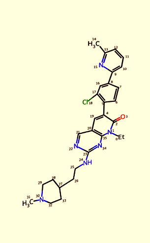 CCn1c(=O)c(-c2ccc(-c3cccc(C)n3)cc2Cl)cc2cnc(NCCC3CCN(C)CC3)nc21